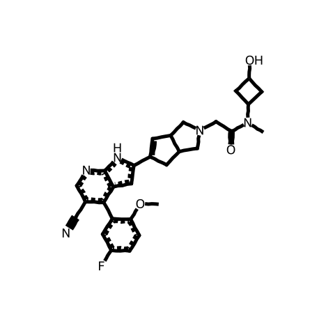 COc1ccc(F)cc1-c1c(C#N)cnc2[nH]c(C3=CC4CN(CC(=O)N(C)C5CC(O)C5)CC4C3)cc12